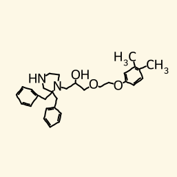 Cc1ccc(OCCOCC(O)CN2CCNCC2(Cc2ccccc2)Cc2ccccc2)cc1C